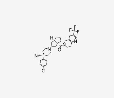 N#CC1(c2ccc(Cl)cc2)CCN([C@@H]2C[C@H]3CCC[C@@]3(C(=O)N3CCc4ncc(C(F)(F)F)cc4C3)C2)CC1